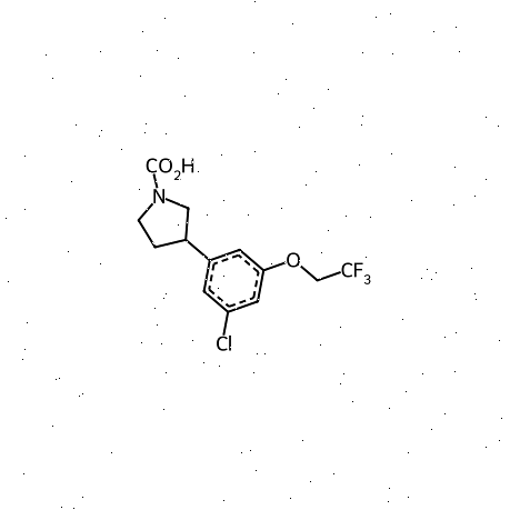 O=C(O)N1CCC(c2cc(Cl)cc(OCC(F)(F)F)c2)C1